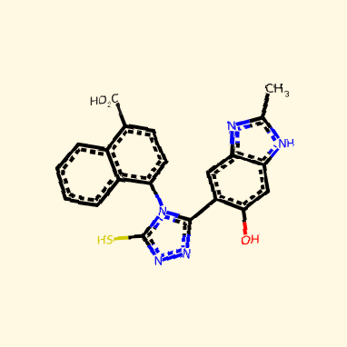 Cc1nc2cc(-c3nnc(S)n3-c3ccc(C(=O)O)c4ccccc34)c(O)cc2[nH]1